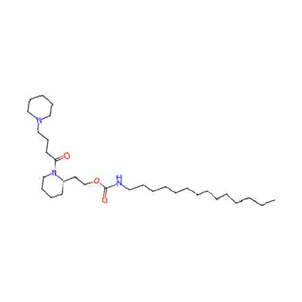 CCCCCCCCCCCCCCNC(=O)OCCC1CCCCN1C(=O)CCCN1CCCCC1